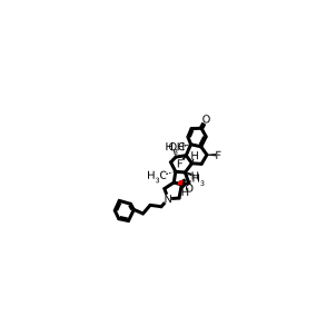 CC(=O)[C@@]12CN(CCCc3ccccc3)C[C@@H]1C[C@H]1[C@@H]3C[C@H](F)C4=CC(=O)C=C[C@]4(C)[C@@]3(F)[C@@H](O)C[C@@]12C